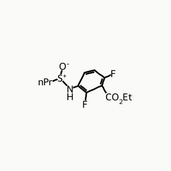 CCC[S+]([O-])Nc1ccc(F)c(C(=O)OCC)c1F